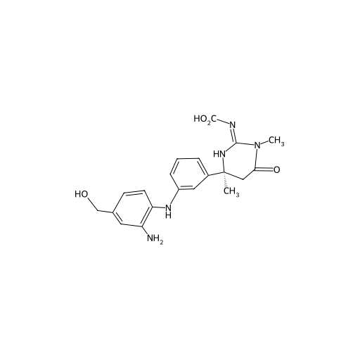 CN1C(=O)C[C@@](C)(c2cccc(Nc3ccc(CO)cc3N)c2)N/C1=N\C(=O)O